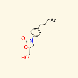 CC(=O)CCCc1ccc(N2CC(CO)OC2=O)cc1